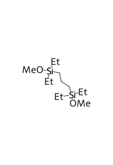 CC[Si](CC)(CCC[Si](CC)(CC)OC)OC